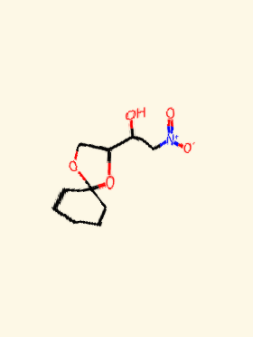 O=[N+]([O-])CC(O)C1COC2(CCCCC2)O1